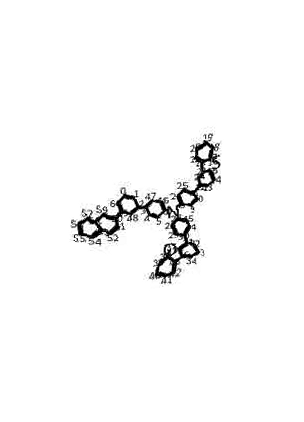 c1cc(-c2ccc(N(c3ccc(-c4ccc5sc6ccccc6c5c4)cc3)c3ccc(-c4cccc5c4oc4ccccc45)cc3)cc2)cc(-c2ccc3ccccc3c2)c1